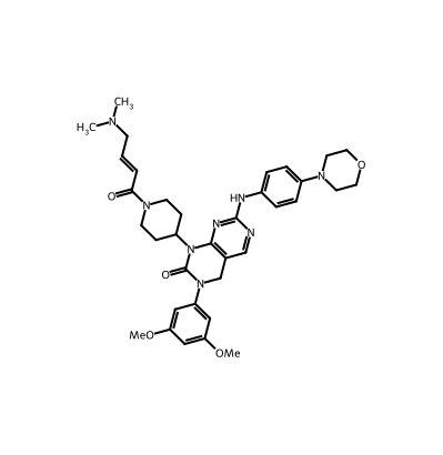 COc1cc(OC)cc(N2Cc3cnc(Nc4ccc(N5CCOCC5)cc4)nc3N(C3CCN(C(=O)C=CCN(C)C)CC3)C2=O)c1